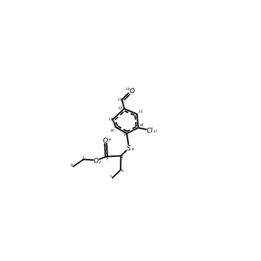 CCOC(=O)C(CC)Sc1ccc(C=O)cc1Cl